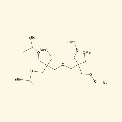 CCCCC(C)OCC(COC)(COCC(COC)(COSCC)COC(C)CCC)COC(C)CCCC